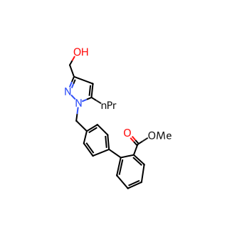 CCCc1cc(CO)nn1Cc1ccc(-c2ccccc2C(=O)OC)cc1